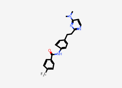 CN(C)c1[c]cnc(CCc2ccc(NC(=O)c3ccc(C(F)(F)F)cc3)cc2)n1